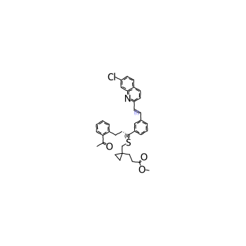 COC(=O)CCC1(CS[C@H](CCc2ccccc2C(C)=O)c2cccc(/C=C/c3ccc4ccc(Cl)cc4n3)c2)CC1